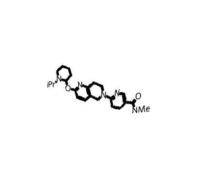 CNC(=O)c1ccc(N2CCc3nc(OC4CCCCN4C(C)C)ccc3C2)nc1